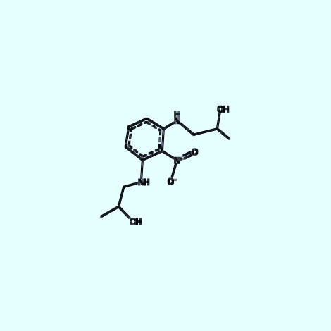 CC(O)CNc1cccc(NCC(C)O)c1[N+](=O)[O-]